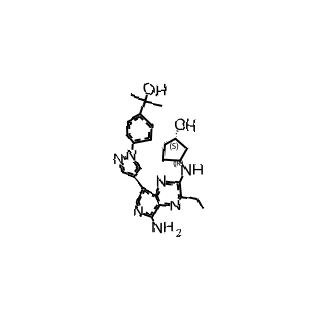 CCc1nc2c(N)ncc(-c3cnn(-c4ccc(C(C)(C)O)cc4)c3)c2nc1N[C@@H]1CC[C@H](O)C1